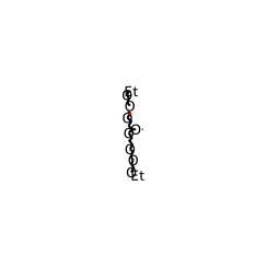 CCOCCOCCOCCCOC([O])CCOCCOCCOCC